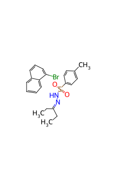 Brc1cccc2ccccc12.CCC(CC)=NNS(=O)(=O)c1ccc(C)cc1